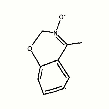 CC1=[N+]([O-])COc2cc[c]cc21